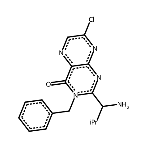 CC(C)C(N)c1nc2nc(Cl)cnc2c(=O)n1Cc1ccccc1